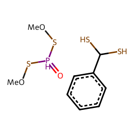 COS[PH](=O)SOC.SC(S)c1ccccc1